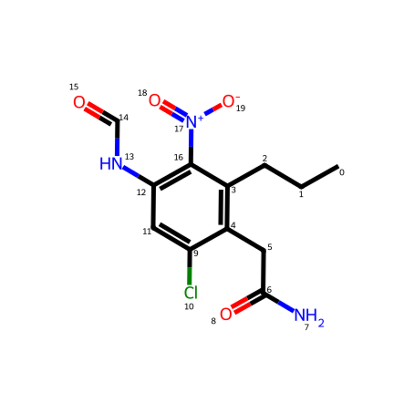 CCCc1c(CC(N)=O)c(Cl)cc(NC=O)c1[N+](=O)[O-]